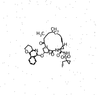 C[C@H]1CC/C=C\[C@@H]2C[C@@]2(C(=O)NS(=O)(=O)C2(CF)CC2)NC(=O)[C@@H]2C[C@@H](Oc3nc4c(c5ccccc35)OCCC4)CN2C(=O)C[C@H](C)C1